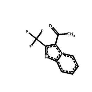 CC(=O)c1c(C(F)(F)F)nc2ccccn12